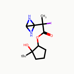 CC(C)(C)C1(O)CCCC1OC(=O)C(C)(I)C12NC1N2